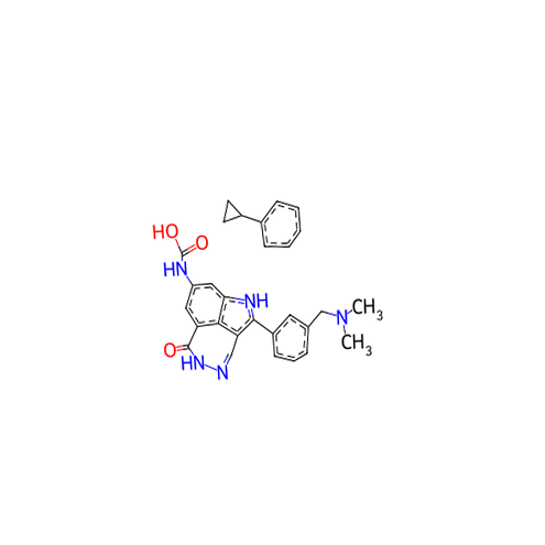 CN(C)Cc1cccc(-c2[nH]c3cc(NC(=O)O)cc4c3c2C=NNC4=O)c1.c1ccc(C2CC2)cc1